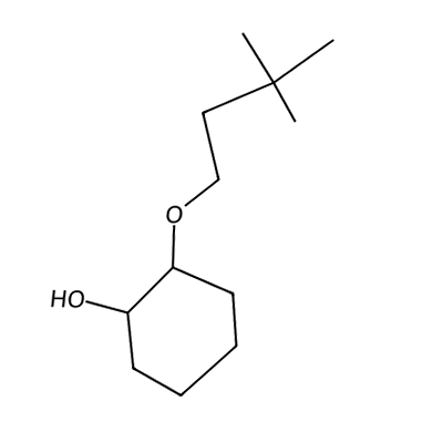 CC(C)(C)CCOC1CCCCC1O